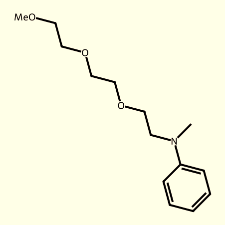 COCCOCCOCCN(C)c1ccccc1